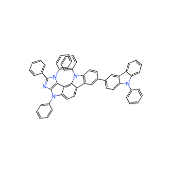 c1ccc(-c2nc3c(c4c(ccc5c6cc(-c7ccc8c(c7)c7ccccc7n8-c7ccccc7)ccc6n(-c6ccccc6)c54)n3-c3ccccc3)n2-c2ccccc2)cc1